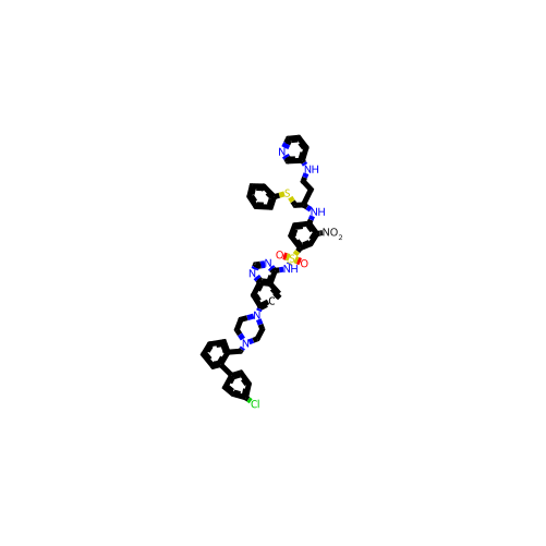 O=[N+]([O-])c1cc(S(=O)(=O)Nc2ncnc3cc(N4CCN(Cc5ccccc5-c5ccc(Cl)cc5)CC4)ccc23)ccc1NC(CCNc1cccnc1)CSc1ccccc1